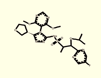 COc1ncnc(OC)c1-n1c(NS(=O)(=O)C(C)C(OC(C)C)c2ncc(F)cn2)nnc1[C@H]1CCOC1